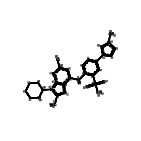 Cc1nc2c(Nc3ccc(-c4ccn(C)n4)cc3S(C)(=O)=O)cc(Cl)nc2n1C1CCCCO1